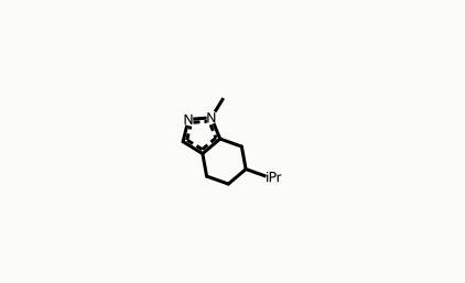 CC(C)C1CCc2cnn(C)c2C1